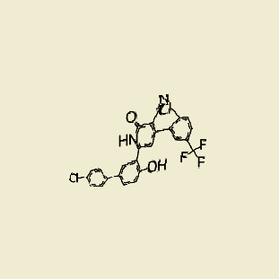 N#Cc1c(-c2cc(C(F)(F)F)ccc2Cl)cc(-c2cc(-c3ccc(Cl)cc3)ccc2O)[nH]c1=O